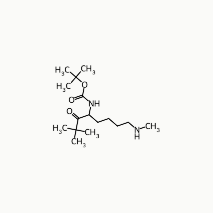 CNCCCCC(NC(=O)OC(C)(C)C)C(=O)C(C)(C)C